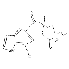 CC(CC=N)(CC1CC1)C(=O)c1cc(F)c2[nH]ccc2c1